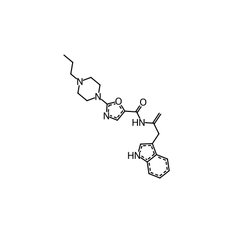 C=C(Cc1c[nH]c2ccccc12)NC(=O)c1cnc(N2CCN(CCC)CC2)o1